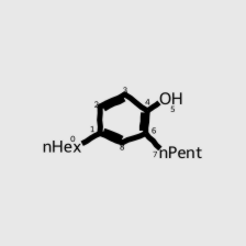 CCCCCCc1ccc(O)c(CCCCC)c1